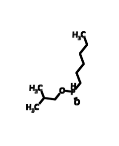 CCCCCC[PH](=O)OCC(C)C